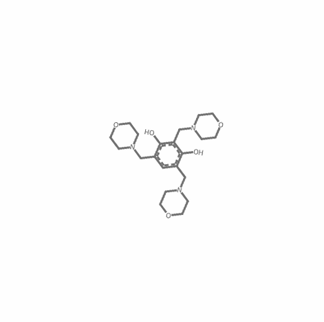 Oc1c(CN2CCOCC2)cc(CN2CCOCC2)c(O)c1CN1CCOCC1